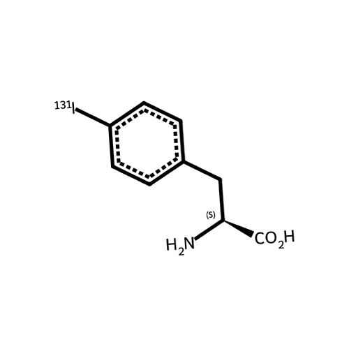 N[C@@H](Cc1ccc([131I])cc1)C(=O)O